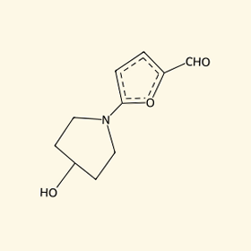 O=Cc1ccc(N2CCC(O)CC2)o1